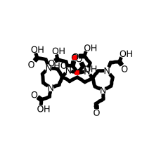 O=CCN1CCN(CC(=O)O)CC(CCCC2(N(CC(=O)O)CC(=O)O)CN(CC(=O)O)CCN(CC(=O)O)C2)(N(CC(=O)O)CC(=O)O)C1